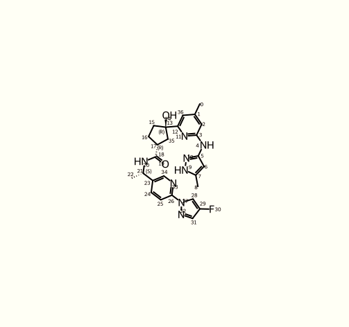 Cc1cc(Nc2cc(C)[nH]n2)nc([C@@]2(O)CC[C@@H](C(=O)N[C@@H](C)c3ccc(-n4cc(F)cn4)nc3)C2)c1